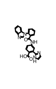 O=C(O)c1ccc(NC(=O)c2ccccc2-n2cnc3ccccc32)cc1-c1ncc[nH]1